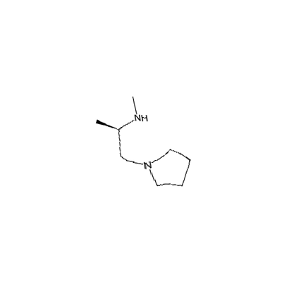 CN[C@H](C)CN1CCCC1